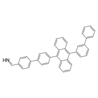 N=Cc1ccc(-c2ccc(-c3c4ccccc4c(-c4cccc(-c5ccccc5)c4)c4ccccc34)cc2)cc1